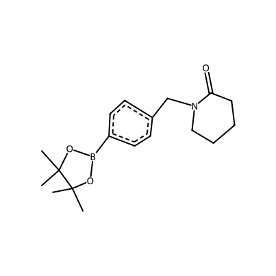 CC1(C)OB(c2ccc(CN3CCCCC3=O)cc2)OC1(C)C